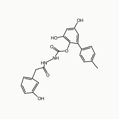 Cc1ccc(-c2cc(O)cc(O)c2OC(=O)NNC(=O)Cc2cccc(O)c2)cc1